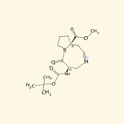 COC(=O)[C@@]12C/C=N\C[C@@H](NC(=O)OC(C)(C)C)C(=O)N1CCC2